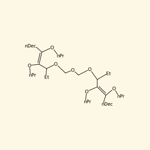 CCCCCCCCCCC(OCCC)=C(OCCC)C(CC)OCOCOC(CC)C(OCCC)=C(CCCCCCCCCC)OCCC